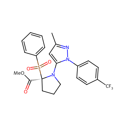 COC(=O)[C@@]1(S(=O)(=O)c2ccccc2)CCCN1c1cc(C)nn1-c1ccc(C(F)(F)F)cc1